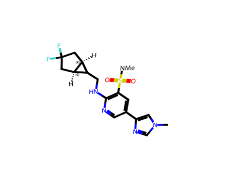 CNS(=O)(=O)c1cc(-c2cn(C)cn2)cnc1NCC1[C@H]2CC(F)(F)C[C@@H]12